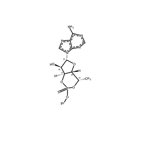 CC(C)OP1(=S)O[C@H]2[C@@H](O)[C@H](n3cnc4c(N)ncnc43)O[C@@H]2[C@H](C)O1